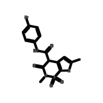 Cc1cc2c(s1)S(=O)(=O)N(C)C(=O)C2C(=O)Nc1ccc(Br)cc1